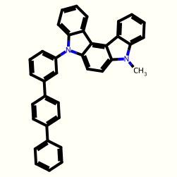 Cn1c2ccccc2c2c3c4ccccc4n(-c4cccc(-c5ccc(-c6ccccc6)cc5)c4)c3ccc21